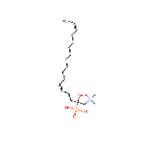 CCCC/C=C\CCCCCCCC/C=C\CCC(O)(C[N+](C)(C)C)P(=O)(O)O